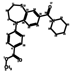 COC(=O)c1ccc(N2CCCSc3cc(C(=O)N4CCCCC4)ccc32)cc1